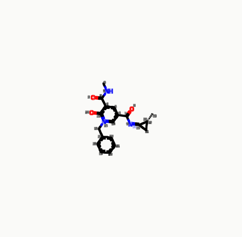 CNC(=O)c1cc(C(=O)/N=C2/C[C@H]2C)cn(Cc2ccccc2)c1=O